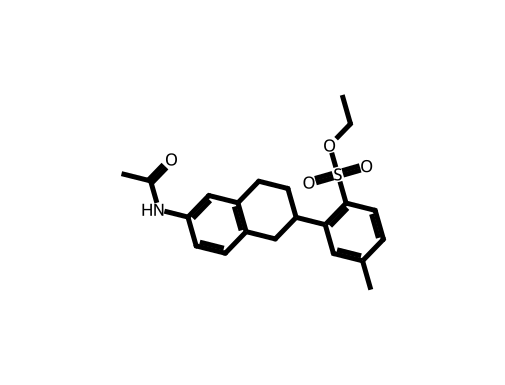 CCOS(=O)(=O)c1ccc(C)cc1C1CCc2cc(NC(C)=O)ccc2C1